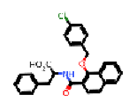 O=C(NC(Cc1ccccc1)C(=O)O)c1ccc2ccccc2c1OCc1ccc(Cl)cc1